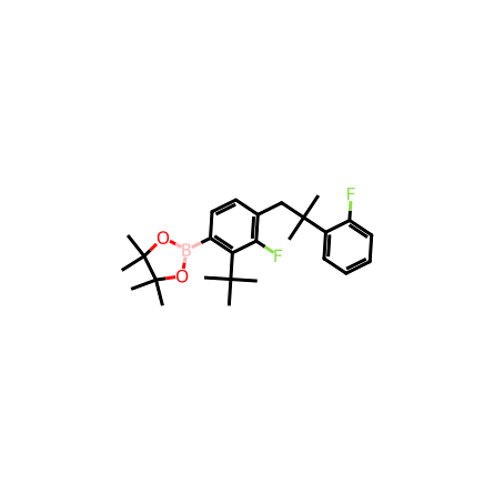 CC(C)(C)c1c(B2OC(C)(C)C(C)(C)O2)ccc(CC(C)(C)c2ccccc2F)c1F